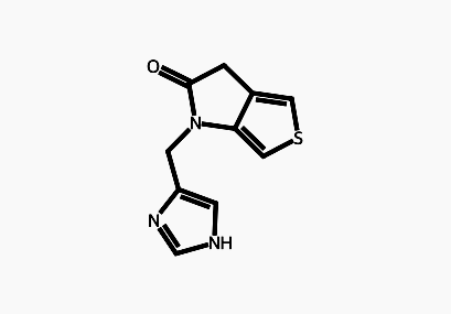 O=C1Cc2cscc2N1Cc1c[nH]cn1